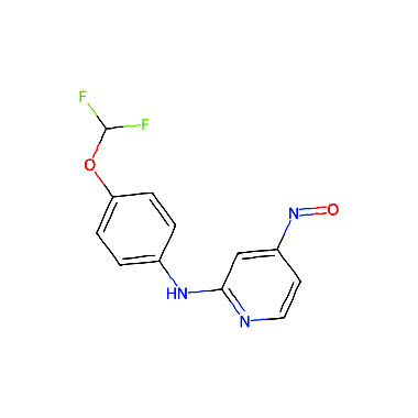 O=Nc1ccnc(Nc2ccc(OC(F)F)cc2)c1